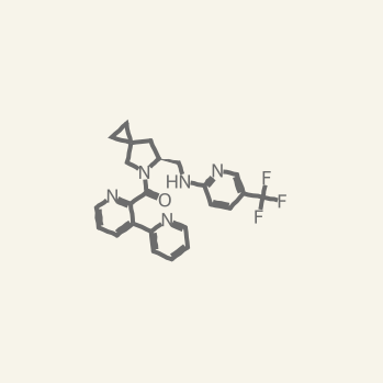 O=C(c1ncccc1-c1ccccn1)N1CC2(CC2)C[C@H]1CNc1ccc(C(F)(F)F)cn1